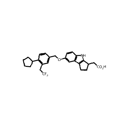 O=C(O)CC1CCc2c1[nH]c1ccc(OCc3ccc(C4CCCC4)c(CC(F)(F)F)c3)cc21